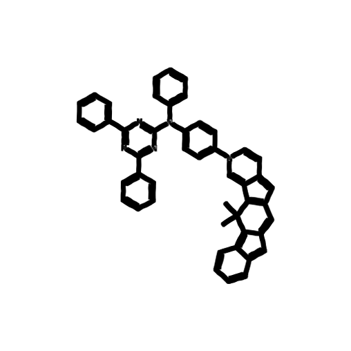 CC1(C)C2=c3ccccc3=CC2=Cc2cc3ccn(-c4ccc(N(c5ccccc5)c5nc(-c6ccccc6)nc(-c6ccccc6)n5)cc4)cc-3c21